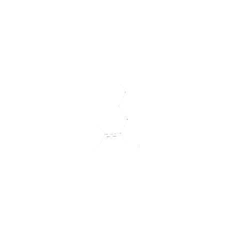 CC(C)=C(CCCC(=O)O)C(=O)O